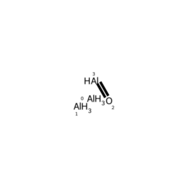 [AlH3].[AlH3].[O]=[AlH]